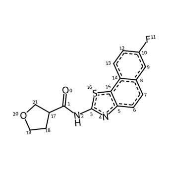 O=C(Nc1nc2ccc3cc(F)ccc3c2s1)C1CCOC1